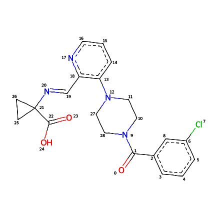 O=C(c1cccc(Cl)c1)N1CCN(c2cccnc2C=NC2(C(=O)O)CC2)CC1